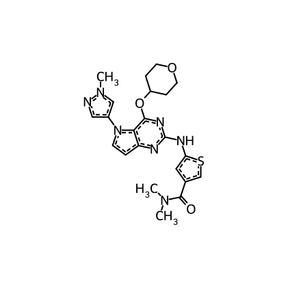 CN(C)C(=O)c1csc(Nc2nc(OC3CCOCC3)c3c(ccn3-c3cnn(C)c3)n2)c1